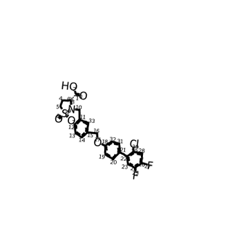 O=C(O)[C@H]1CCS(=O)(=O)N1Cc1cccc(COc2ccc(-c3cc(F)c(F)cc3Cl)cc2)c1